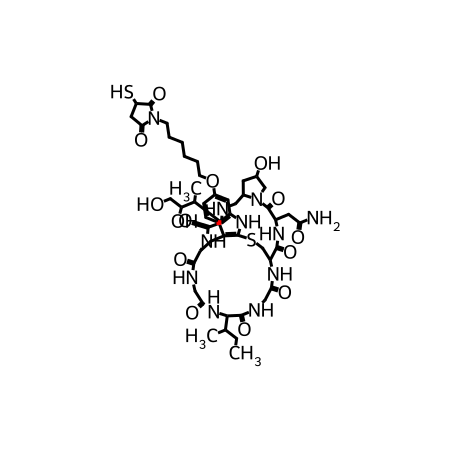 CCC(C)C1NC(=O)CNC(=O)C2Cc3c([nH]c4cc(OCCCCCCN5C(=O)CC(S)C5=O)ccc34)SCC(NC(=O)CNC1=O)C(=O)NC(CC(N)=O)C(=O)N1CC(O)CC1CNC(C(C)C(O)CO)C(=O)N2